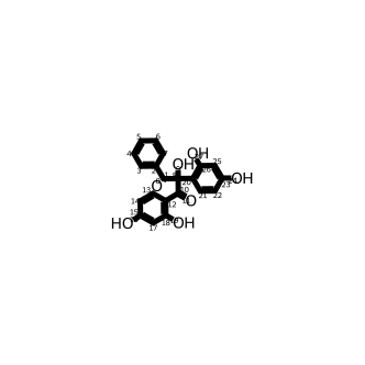 O=C(c1ccccc1)C(O)(C(=O)c1ccc(O)cc1O)c1ccc(O)cc1O